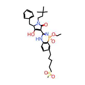 CCOP1(=O)N=C(C2=C(O)C(Cc3ccccc3)N(CCC(C)(C)C)C2=O)Nc2ccc(CCCCCS(C)(=O)=O)cc21